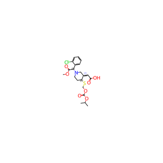 COC(=O)[C@H](c1ccccc1Cl)N1CC[C@@H](SCOC(=O)OC(C)C)/C(=C\C(=O)O)C1